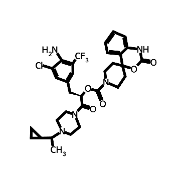 CC(C1CC1)N1CCN(C(=O)[C@@H](Cc2cc(Cl)c(N)c(C(F)(F)F)c2)OC(=O)N2CCC3(CC2)OC(=O)Nc2ccccc23)CC1